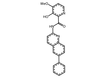 COc1ccnc(C(=O)Nc2ccc3cc(-c4ccccc4)ccc3n2)c1O